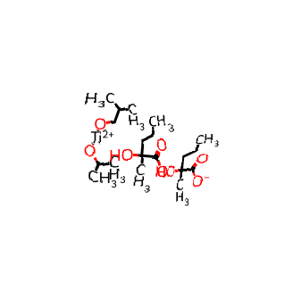 CC(C)C[O][Ti+2][O]C(C)C.CCCC(C)(O)C(=O)[O-].CCCC(C)(O)C(=O)[O-]